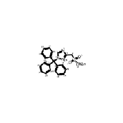 COS(=O)(=O)Cc1ncn(C(c2ccccc2)(c2ccccc2)c2ccccc2)n1